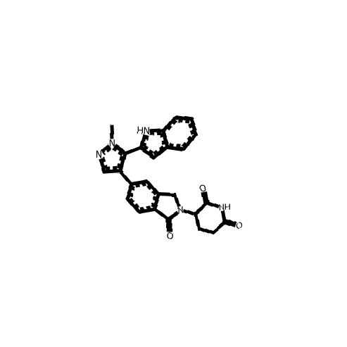 Cn1ncc(-c2ccc3c(c2)CN(C2CCC(=O)NC2=O)C3=O)c1-c1cc2ccccc2[nH]1